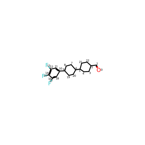 O=CC1CCC(C2CCC(c3cc(F)c(F)c(F)c3)CC2)CC1